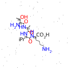 CC(C)[C@H](NC(=O)[C@H](C)NC(=O)[C@@H](N)[C@@H](C)O)C(=O)N[C@@H](CCCCN)C(=O)O